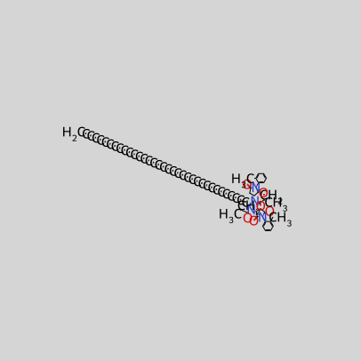 C=C=C=C=C=C=C=C=C=C=C=C=C=C=C=C=C=C=C=C=C=C=C=C=C=C=C=C=C=C=C=C=C=C=C=C(N(C(=O)C(=C)C)C1CC(=O)N(c2ccccc2C)C1=O)N(C(=O)C(=C)C)C1CC(=O)N(c2ccccc2C)C1=O